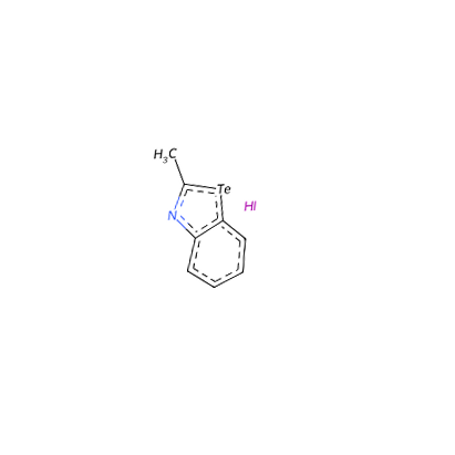 Cc1nc2ccccc2[te]1.I